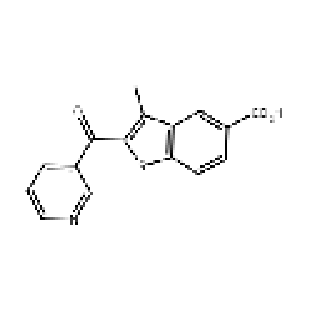 Cc1c(C(=O)c2cccnc2)sc2ccc(C(=O)O)cc12